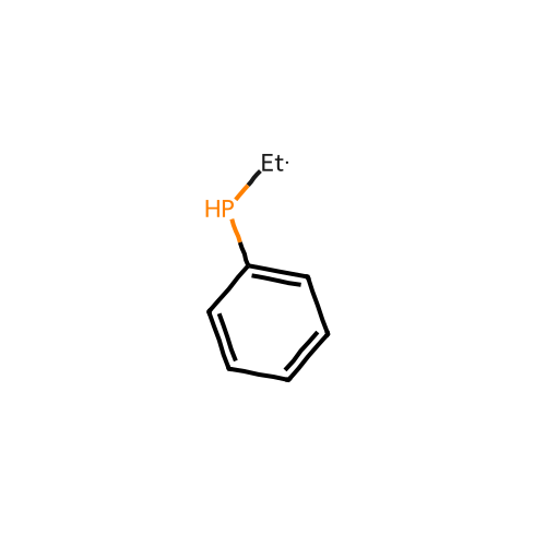 C[CH]Pc1ccccc1